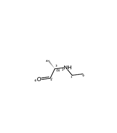 CCN[C@@H](C)[C]=O